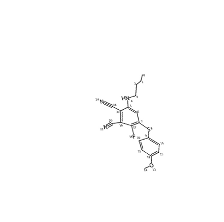 CCCCNc1cc(Sc2ccc(OC)cc2)c(F)c(C#N)c1C#N